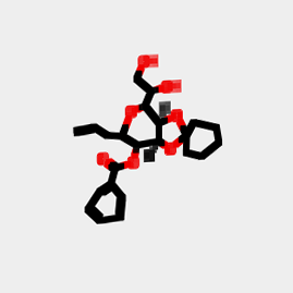 C=CCC1O[C@@H]([C@H](O)CO)[C@H]2OC3(CCCCC3)O[C@H]2[C@H]1OC(=O)c1ccccc1